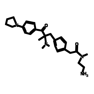 CN(CCN)C(=O)Cc1ccc(CC(C)(C(=O)c2ccc(N3CCCC3)cc2)N(C)C)cc1